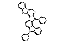 c1ccc(-n2c3ccccc3c3c2ccc2c4c5oc6ccccc6c5cnc4n(-c4ccccc4)c23)cc1